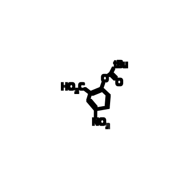 CC(C)(C)C(=O)Oc1ccc([N+](=O)[O-])cc1C(=O)O